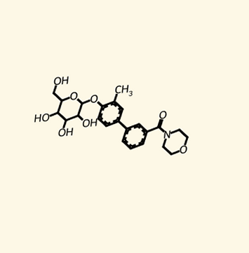 Cc1cc(-c2cccc(C(=O)N3CCOCC3)c2)ccc1OC1OC(CO)C(O)C(O)C1O